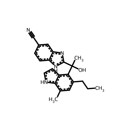 CCCc1cc(C)c2[nH]ccc2c1C(C)(O)c1nc2cc(C#N)ccc2[nH]1